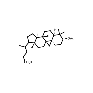 CC(=O)O[C@H]1CC[C@]23C[C@]24CC[C@]2(C)C([C@H](C)CCC(=O)O)CC[C@@]2(C)[C@@H]4CC[C@H]3C1(C)C